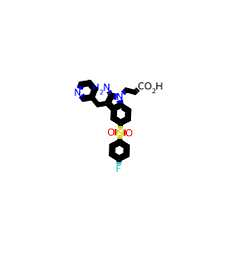 Nc1c(Cc2cccnc2)c2cc(S(=O)(=O)c3ccc(F)cc3)ccc2n1CCC(=O)O